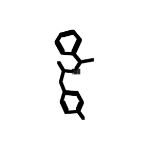 Cc1ccc(CC(C)NC(C)c2ccccc2)cc1